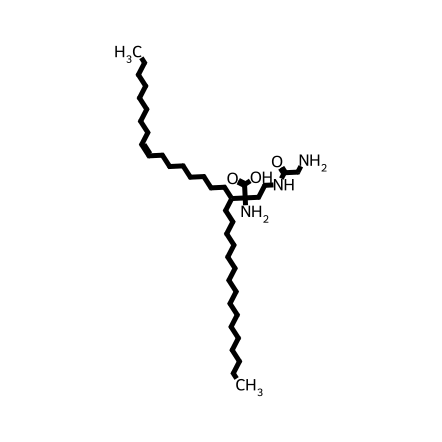 CCCCCCCC/C=C\CCCCCCCC(CCCCCCCCCCCCCCCC)C(N)(CCNC(=O)CN)C(=O)O